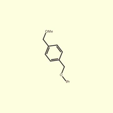 COCc1ccc(COC(C)C)cc1